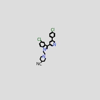 N#CC1CCN(CCn2cc(-c3cncc(-c4ccc(Cl)cc4)c3)c3cc(Cl)ccc32)CC1